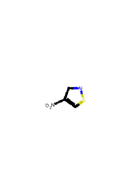 O=[N+]([O-])C1=CS[N]C1